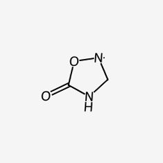 O=C1NC[N]O1